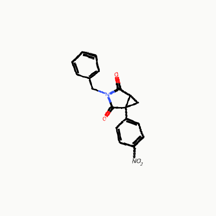 O=C1C2CC2(c2ccc([N+](=O)[O-])cc2)C(=O)N1Cc1ccccc1